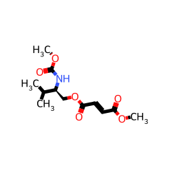 COC(=O)/C=C/C(=O)OC[C@H](NC(=O)OC)C(C)C